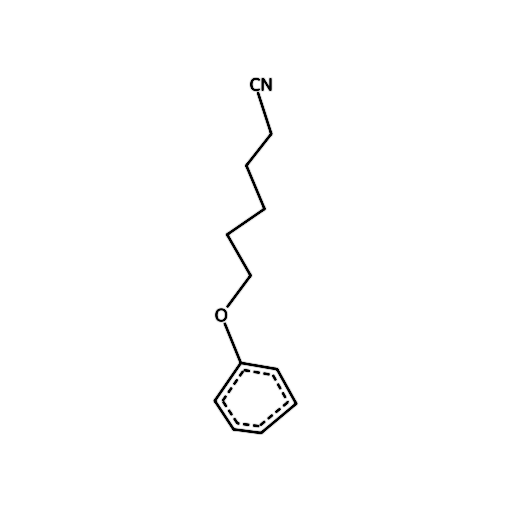 N#CCCCCCOc1ccccc1